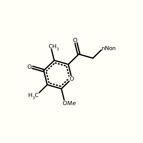 CCCCCCCCCCC(=O)c1oc(OC)c(C)c(=O)c1C